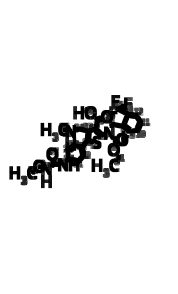 CCOC(=O)N(Cc1c(F)cccc1C(F)(F)F)c1sc(-c2ccc(NC(=O)NOC)cc2)c(CNC)c1C(=O)O